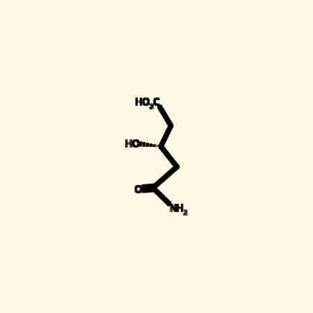 NC(=O)C[C@H](O)CC(=O)O